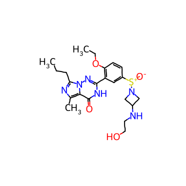 CCCc1nc(C)c2c(=O)[nH]c(-c3cc([S+]([O-])N4CC(NCCO)C4)ccc3OCC)nn12